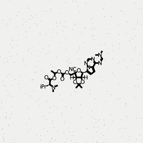 CC(OC(=O)OC[C@@]1(C#N)O[C@@H](c2ccc3c(/N=C\N(C)C)ncnn23)[C@@H]2OC(C)(C)O[C@@H]21)OC(=O)[C@H](C(C)C)N(C)C